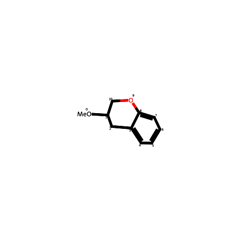 COC1[CH]c2ccccc2OC1